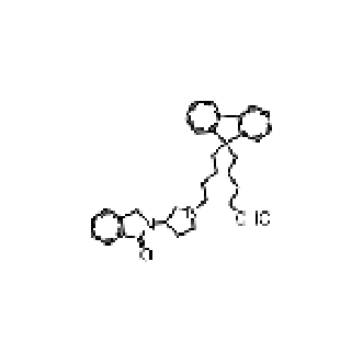 O=CCCCCC1(CCCCN2CCC(N3Cc4ccccc4C3=O)C2)c2ccccc2-c2ccccc21